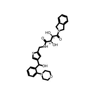 O=C(NCc1cc(C(O)c2ccccc2N2CCOCC2)cs1)[C@H](O)[C@@H](O)C(=O)N1Cc2ccccc2C1